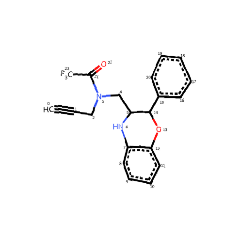 C#CCN(CC1Nc2ccccc2OC1c1ccccc1)C(=O)C(F)(F)F